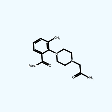 COC(=O)c1cccc(C)c1N1CCN(CC(N)=O)CC1